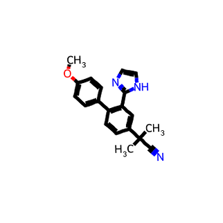 COc1ccc(-c2ccc(C(C)(C)C#N)cc2-c2ncc[nH]2)cc1